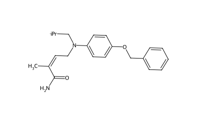 C[C](C)CN(CC=C(C)C(N)=O)c1ccc(OCc2ccccc2)cc1